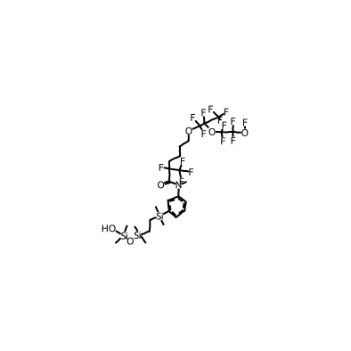 CN(C(=O)C(F)(CCCCOC(F)(F)C(F)(OC(F)(F)C(F)(F)OF)C(F)(F)F)C(F)(F)F)c1cccc([Si](C)(C)CC[Si](C)(C)O[Si](C)(C)O)c1